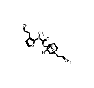 C=CCc1ccsc1N(C)C(=O)O[C@H]1C[N+]2(CC=C)CCC1CC2